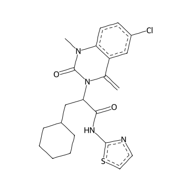 C=C1c2cc(Cl)ccc2N(C)C(=O)N1C(CC1CCCCC1)C(=O)Nc1nccs1